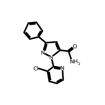 NC(=O)c1cc(-c2ccccc2)nn1-c1ncccc1Cl